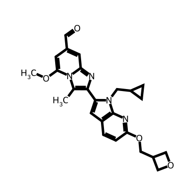 COc1cc(C=O)cc2nc(-c3cc4ccc(OCC5COC5)nc4n3CC3CC3)c(C)n12